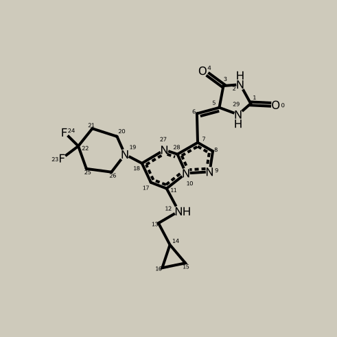 O=C1NC(=O)/C(=C/c2cnn3c(NCC4CC4)cc(N4CCC(F)(F)CC4)nc23)N1